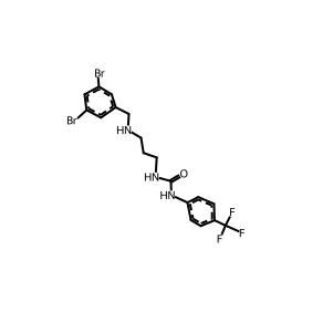 O=C(NCCCNCc1cc(Br)cc(Br)c1)Nc1ccc(C(F)(F)F)cc1